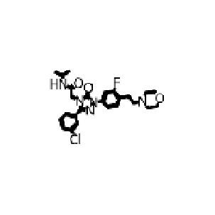 CC(C)NC(=O)Cn1c(-c2cccc(Cl)c2)nn(-c2ccc(CCN3CCOCC3)c(F)c2)c1=O